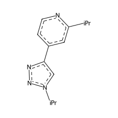 CC(C)c1cc(-c2cn(C(C)C)nn2)ccn1